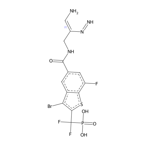 N=N/C(=C\N)CNC(=O)c1cc(F)c2sc(C(F)(F)P(=O)(O)O)c(Br)c2c1